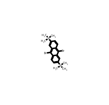 C[Si](C)(C)c1ccc2c(Br)c3cc([Si](C)(C)C)ccc3c(Br)c2c1